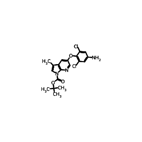 Cc1cn(C(=O)OC(C)(C)C)c2ncc(Oc3c(Cl)cc(N)cc3Cl)cc12